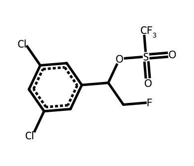 O=S(=O)(OC(CF)c1cc(Cl)cc(Cl)c1)C(F)(F)F